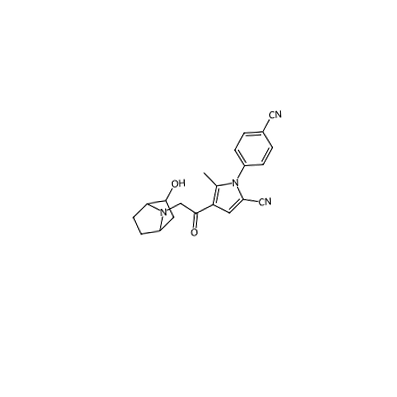 Cc1c(C(=O)CN2C3CCC2C(O)C3)cc(C#N)n1-c1ccc(C#N)cc1